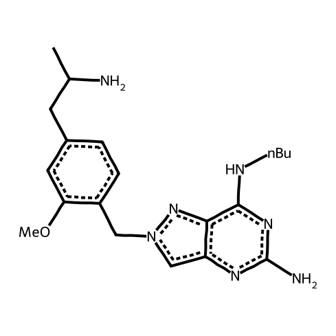 CCCCNc1nc(N)nc2cn(Cc3ccc(CC(C)N)cc3OC)nc12